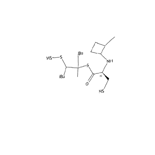 CCC(C)C(SS)C(C)(SC(=O)[C@H](CS)NC1CCC1C)C(C)CC